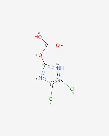 O=C(O)Oc1nc(Cl)c(Cl)[nH]1